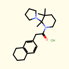 CC1(C)CCCN(C(=O)Cc2ccc3c(c2)CCCC3)C1(C)N1CCCC1.Cl